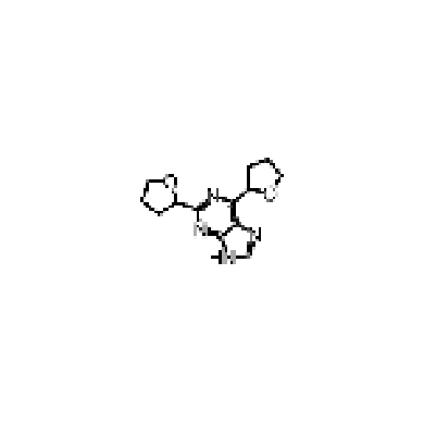 c1nc2c(C3CCCO3)nc(C3CCCO3)nc2[nH]1